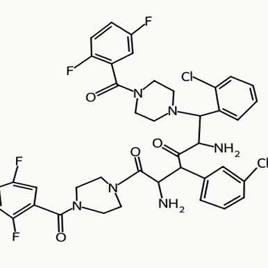 NC(C(=O)N1CCN(C(=O)c2cc(F)ccc2F)CC1)C(C(=O)C(N)C(c1ccccc1Cl)N1CCN(C(=O)c2cc(F)ccc2F)CC1)c1cccc(Cl)c1